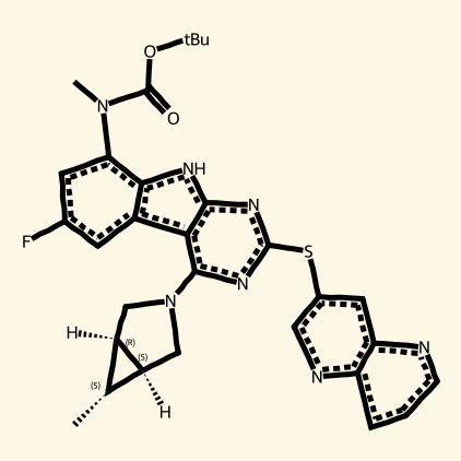 C[C@@H]1[C@H]2CN(c3nc(Sc4cnc5cccnc5c4)nc4[nH]c5c(N(C)C(=O)OC(C)(C)C)cc(F)cc5c34)C[C@@H]12